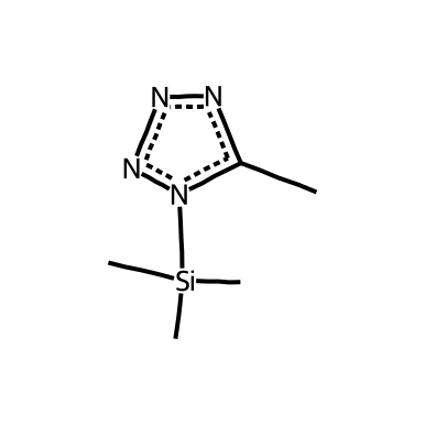 Cc1nnnn1[Si](C)(C)C